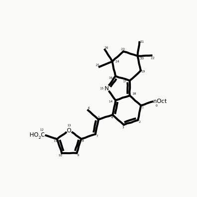 CCCCCCCCC1C=CC(/C(C)=C/c2ccc(C(=O)O)o2)=C2N=C3C(=C21)CC(C)(C)CC3(C)C